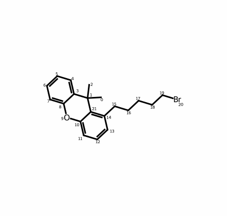 CC1(C)c2ccccc2Oc2cccc(CCCCCBr)c21